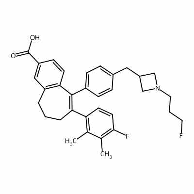 Cc1c(F)ccc(C2=C(c3ccc(CC4CN(CCCF)C4)cc3)c3ccc(C(=O)O)cc3CCC2)c1C